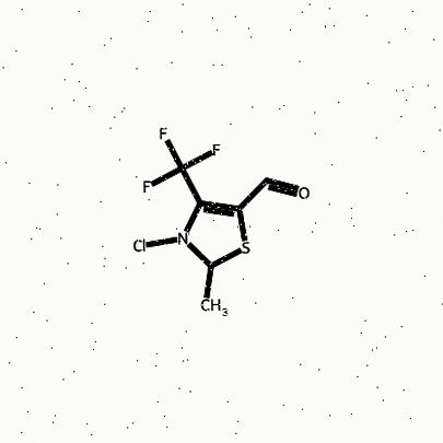 CC1SC(C=O)=C(C(F)(F)F)N1Cl